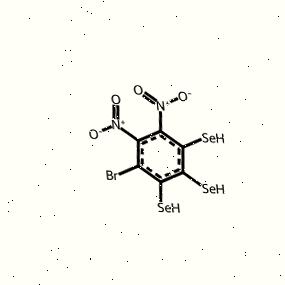 O=[N+]([O-])c1c([SeH])c([SeH])c([SeH])c(Br)c1[N+](=O)[O-]